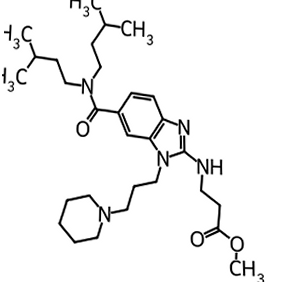 COC(=O)CCNc1nc2ccc(C(=O)N(CCC(C)C)CCC(C)C)cc2n1CCCN1CCCCC1